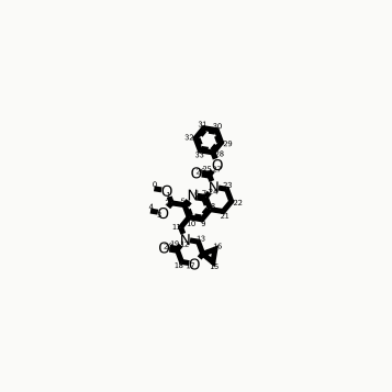 COC(OC)c1nc2c(cc1CN1CC3(CC3)OCC1=O)CCCN2C(=O)Oc1ccccc1